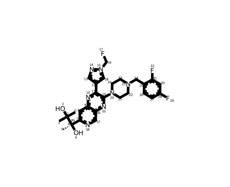 CC(C)(O)[C@](C)(O)c1cc2nc(-c3cnn(CF)c3)c(N3CCN(Cc4ccc(F)cc4F)CC3)nc2cn1